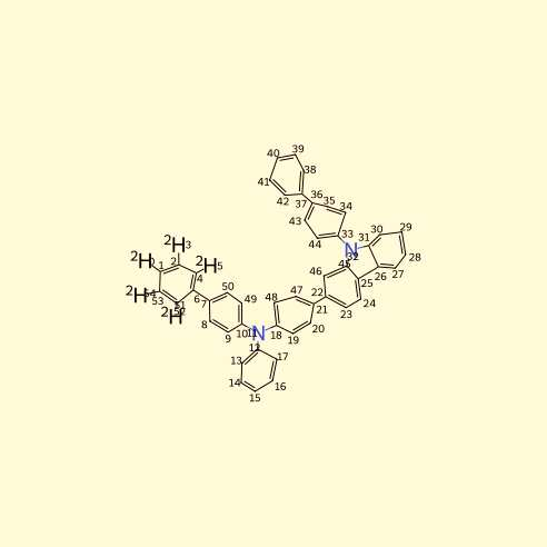 [2H]c1c([2H])c([2H])c(-c2ccc(N(c3ccccc3)c3ccc(-c4ccc5c6ccccc6n(-c6ccc(-c7ccccc7)cc6)c5c4)cc3)cc2)c([2H])c1[2H]